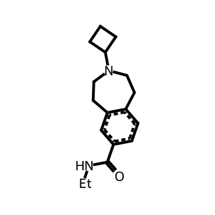 CCNC(=O)c1ccc2c(c1)CCN(C1CCC1)CC2